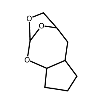 C1CC2CC3COC(O3)OC2C1